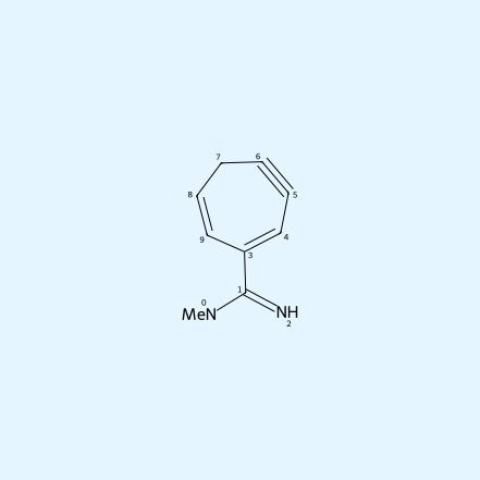 CNC(=N)C1=CC#CCC=C1